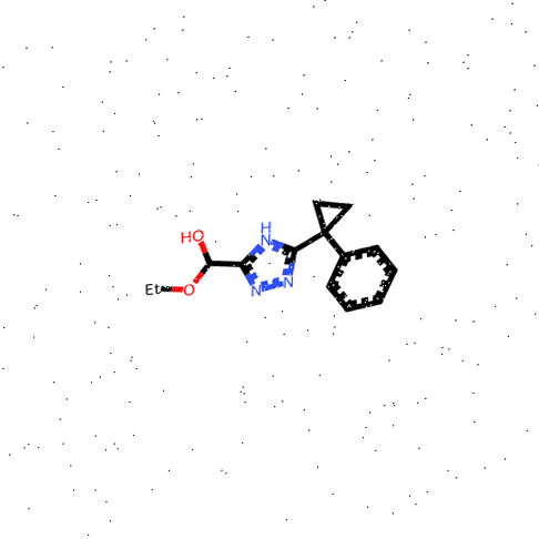 CCOC(O)c1nnc(C2(c3ccccc3)CC2)[nH]1